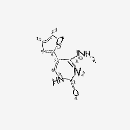 Nc1nc(=O)[nH]cc1-c1ccco1